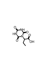 CCC(C(=O)O)n1c(=O)[nH]c(=O)[nH]c1=O